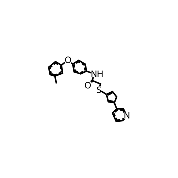 Cc1cccc(Oc2ccc(NC(=O)CSC3=CCC(c4cccnc4)=C3)cc2)c1